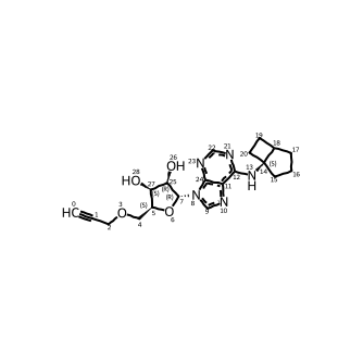 C#CCOC[C@@H]1O[C@@H](n2cnc3c(N[C@]45CCCC4CC5)ncnc32)[C@H](O)[C@@H]1O